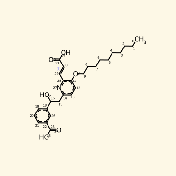 CCCCCCCCCCOc1ccc(CC(O)c2cccc(C(=O)O)c2)nc1/C=C/C(=O)O